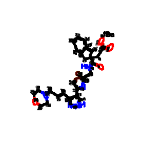 CC(C)(C)OC(=O)CC1(C(=O)NCc2nc(-c3c[nH]nc3CCCN3CCOCC3)cs2)Cc2ccccc2C1